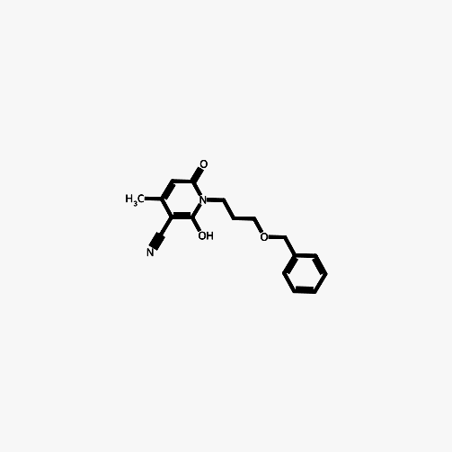 Cc1cc(=O)n(CCCOCc2ccccc2)c(O)c1C#N